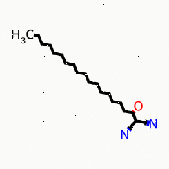 CCCCCCCCCCCCCCCCCC(=O)C(C#N)C#N